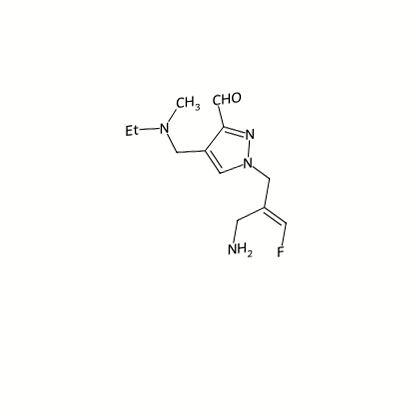 CCN(C)Cc1cn(C/C(=C/F)CN)nc1C=O